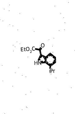 CCOC(=O)C(=O)c1c[nH]c2c(C(C)C)cccc12